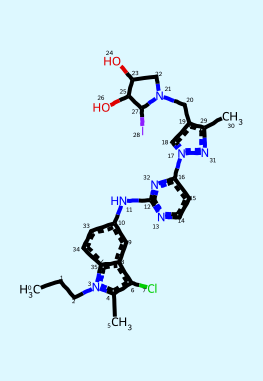 CCCn1c(C)c(Cl)c2cc(Nc3nccc(-n4cc(CN5CC(O)C(O)C5I)c(C)n4)n3)ccc21